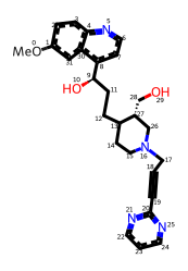 COc1ccc2nccc([C@H](O)CCC3CCN(CC#Cc4ncccn4)C[C@H]3CO)c2c1